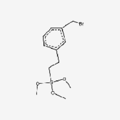 CO[Si](CCc1cccc(CBr)c1)(OC)OC